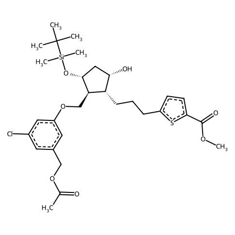 COC(=O)c1ccc(CCC[C@@H]2[C@@H](COc3cc(Cl)cc(COC(C)=O)c3)[C@H](O[Si](C)(C)C(C)(C)C)C[C@@H]2O)s1